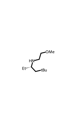 CC[C@@H](CC(C)(C)C)NCCOC